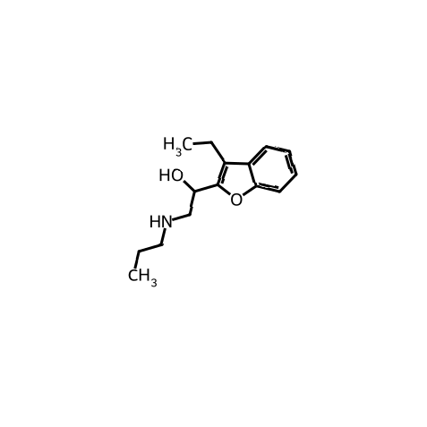 CCCNCC(O)c1oc2ccccc2c1CC